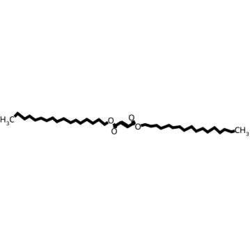 CCCCCCCCCCCCCCCCCOC(=O)/C=C/C(=O)OCCCCCCCCCCCCCCCCC